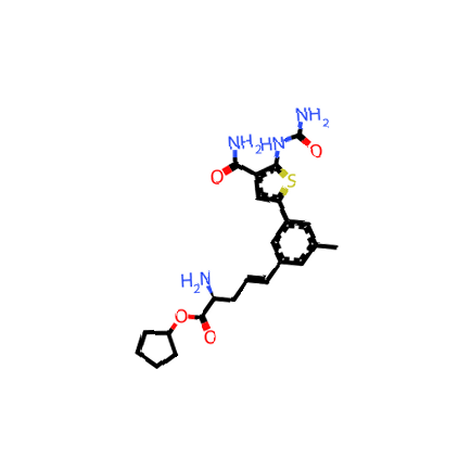 Cc1cc(C=CC[C@H](N)C(=O)OC2CCCC2)cc(-c2cc(C(N)=O)c(NC(N)=O)s2)c1